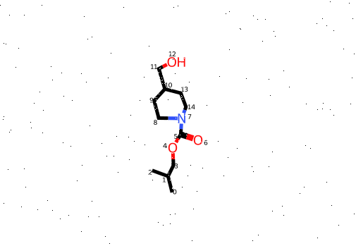 CC(C)COC(=O)N1CCC(CO)CC1